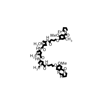 CC[C@@H]1CCCN1C(=O)c1cc(OC)c(OCCCC(=O)Nc2cc(C(=O)Nc3cc(C(=O)Nc4cc(C(=O)NCCCOc5cc6c(cc5OC)C(=O)N5CCC[C@H]5C=N6)n(C)c4)n(C)c3)n(C)c2)cc1C